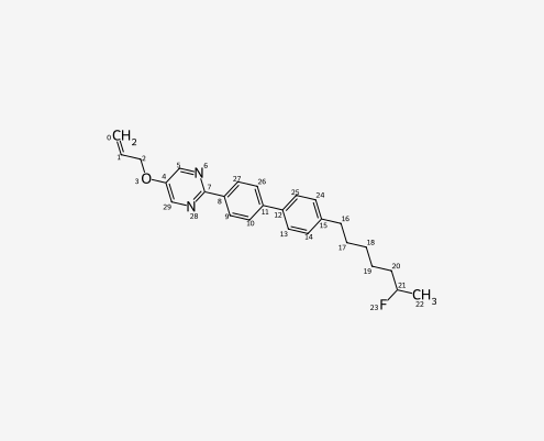 C=CCOc1cnc(-c2ccc(-c3ccc(CCCCCC(C)F)cc3)cc2)nc1